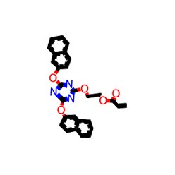 C=CC(=O)OCCOc1nc(Oc2ccc3ccccc3c2)nc(Oc2ccc3ccccc3c2)n1